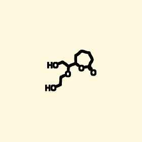 O=C1CCCCC(C(CO)OCCO)O1